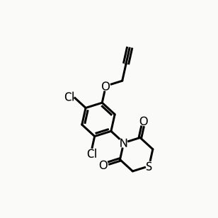 C#CCOc1cc(N2C(=O)CSCC2=O)c(Cl)cc1Cl